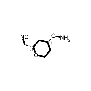 NO[C@@H]1CCO[C@H](CN=O)C1